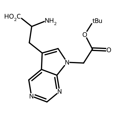 CC(C)(C)OC(=O)Cn1cc(CC(N)C(=O)O)c2cncnc21